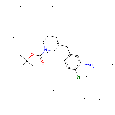 CC(C)(C)OC(=O)N1CCCC(Cc2ccc(Cl)c(N)c2)C1